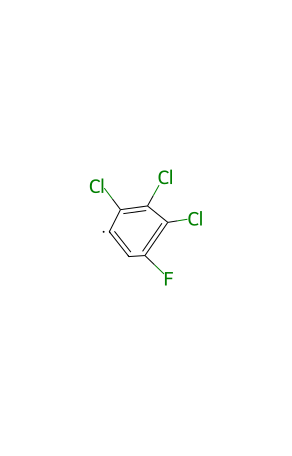 Fc1c[c]c(Cl)c(Cl)c1Cl